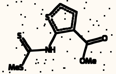 COC(=O)c1ccsc1NC(=S)SC